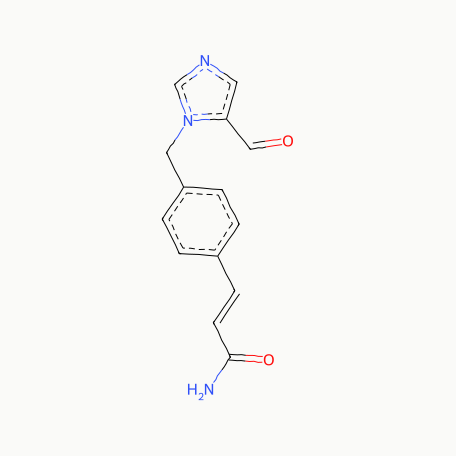 NC(=O)/C=C/c1ccc(Cn2cncc2C=O)cc1